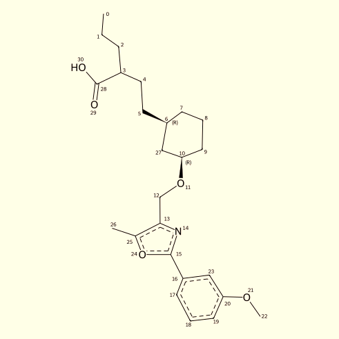 CCCC(CC[C@H]1CCC[C@@H](OCc2nc(-c3cccc(OC)c3)oc2C)C1)C(=O)O